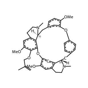 C=C(C)COc1c(OC)cc2c3c1Oc1cc4c(cc1OC)CCN(C)[C@H]4Cc1ccc(cc1)Oc1cc(ccc1OC)C[C@@H]3N(C)CC2